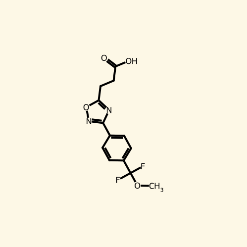 COC(F)(F)c1ccc(-c2noc(CCC(=O)O)n2)cc1